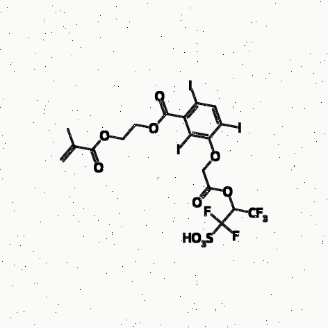 C=C(C)C(=O)OCCOC(=O)c1c(I)cc(I)c(OCC(=O)OC(C(F)(F)F)C(F)(F)S(=O)(=O)O)c1I